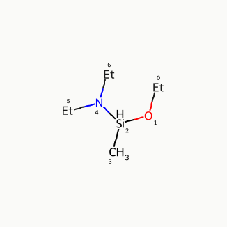 CCO[SiH](C)N(CC)CC